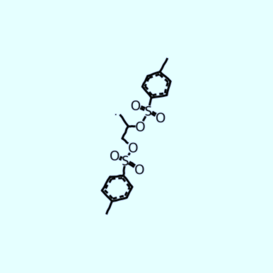 [CH2]C(COS(=O)(=O)c1ccc(C)cc1)OS(=O)(=O)c1ccc(C)cc1